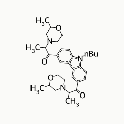 CCCCn1c2ccc(C(=O)C(C)N3CCOC(C)C3)cc2c2cc(C(=O)C(C)N3CCOC(C)C3)ccc21